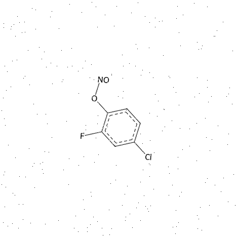 O=NOc1ccc(Cl)cc1F